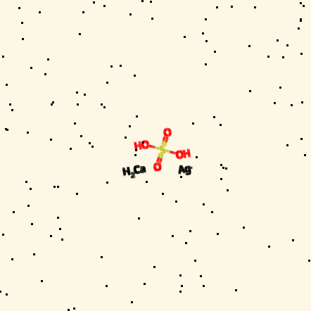 O=S(=O)(O)O.[Ag].[CaH2]